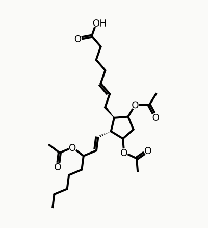 CCCCCC(C=C[C@H]1C(OC(C)=O)CC(OC(C)=O)[C@@H]1CC=CCCCC(=O)O)OC(C)=O